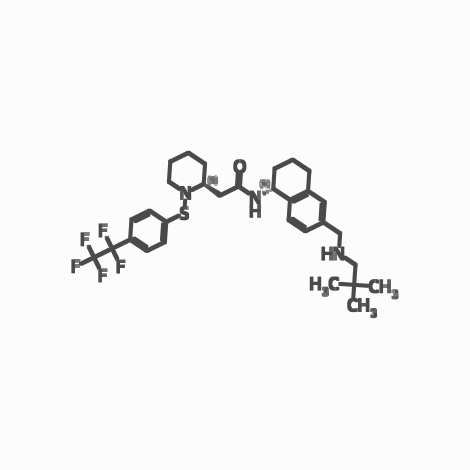 CC(C)(C)CNCc1ccc2c(c1)CCC[C@H]2NC(=O)C[C@@H]1CCCCN1Sc1ccc(C(F)(F)C(F)(F)F)cc1